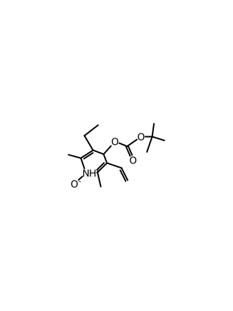 C=CC1=C(C)[NH+]([O-])C(C)=C(CC)C1OC(=O)OC(C)(C)C